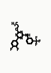 CCOc1nc(Nc2cccc(C(F)(F)F)c2)nc(-c2ccc(F)c(F)c2)n1